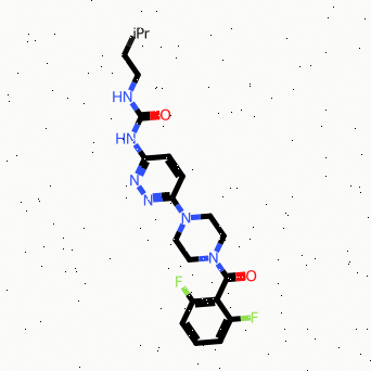 CC(C)CCNC(=O)Nc1ccc(N2CCN(C(=O)c3c(F)cccc3F)CC2)nn1